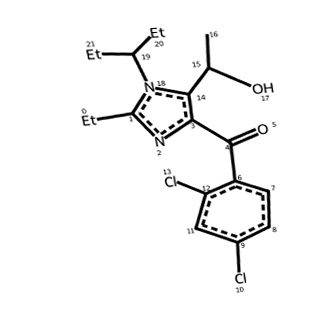 CCc1nc(C(=O)c2ccc(Cl)cc2Cl)c(C(C)O)n1C(CC)CC